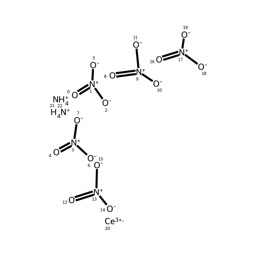 O=[N+]([O-])[O-].O=[N+]([O-])[O-].O=[N+]([O-])[O-].O=[N+]([O-])[O-].O=[N+]([O-])[O-].[Ce+3].[NH4+].[NH4+]